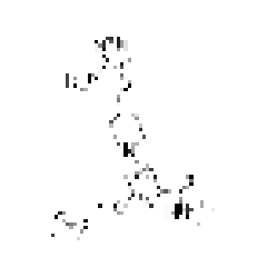 CC(C)(C)NC(=O)c1nc(OCC2CC2(C)F)nc(N2CCC(COc3cncnc3N)CC2)n1